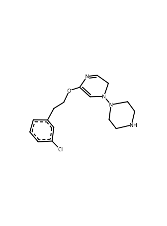 Clc1cccc(CCOC2=CN(N3CCNCC3)CC=N2)c1